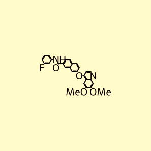 COc1cc2nccc(Oc3ccc4ccc(C(=O)Nc5cccc(F)c5)cc4c3)c2cc1OC